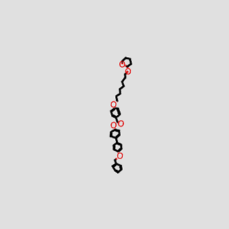 O=C(Oc1ccc(-c2ccc(OCc3ccccc3)cc2)cc1)c1ccc(OCCCCCCCCOC2CCCCO2)cc1